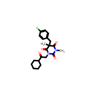 CN1C(=O)N(CC(=O)C2CCCCC2)C(=O)C(C)(Cc2ccc(F)cc2)C1=O